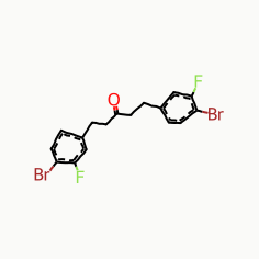 O=C(CCc1ccc(Br)c(F)c1)CCc1ccc(Br)c(F)c1